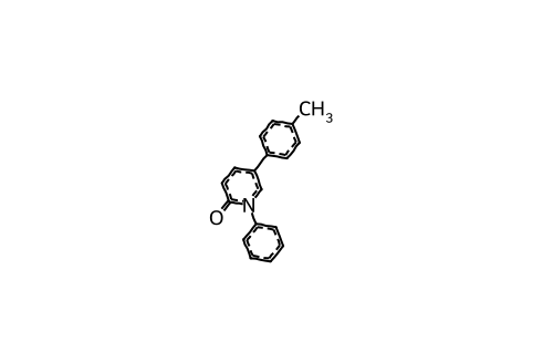 Cc1ccc(-c2ccc(=O)n(-c3ccccc3)c2)cc1